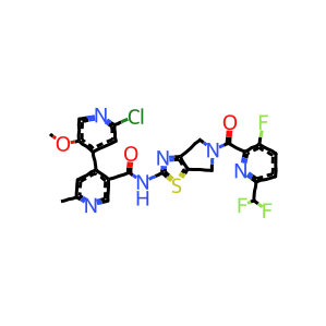 COc1cnc(Cl)cc1-c1cc(C)ncc1C(=O)Nc1nc2c(s1)CN(C(=O)c1nc(C(F)F)ccc1F)C2